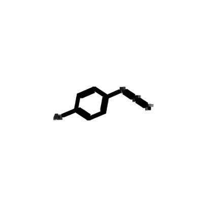 CC(=O)c1ccc(N=[N+]=[N-])cc1